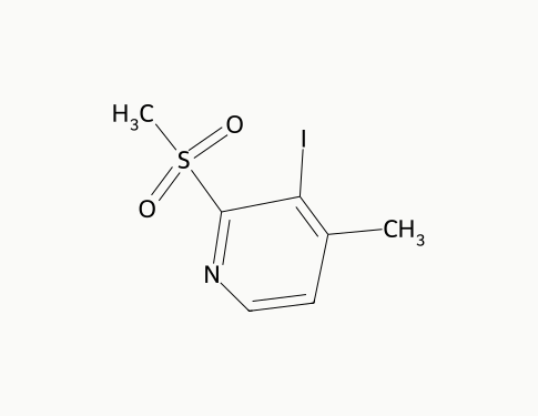 Cc1ccnc(S(C)(=O)=O)c1I